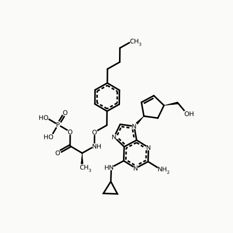 CCCCc1ccc(CON[C@@H](C)C(=O)OP(=O)(O)O)cc1.Nc1nc(NC2CC2)c2ncn([C@H]3C=C[C@@H](CO)C3)c2n1